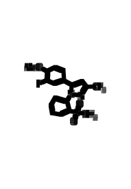 COc1ccc(-c2cc(C(F)(F)F)nn2-c2ccccc2S(N)(=O)=O)cc1F